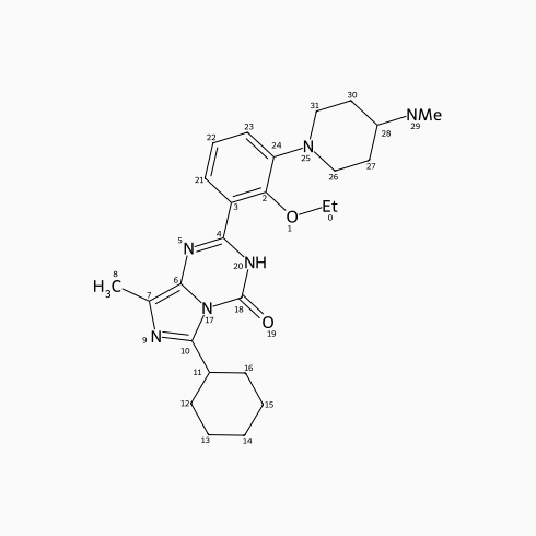 CCOc1c(-c2nc3c(C)nc(C4CCCCC4)n3c(=O)[nH]2)cccc1N1CCC(NC)CC1